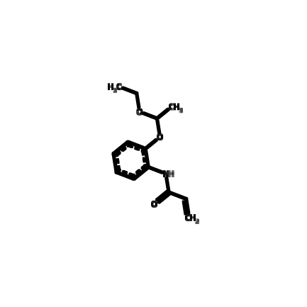 C=CC(=O)Nc1ccccc1OC(C)OCC